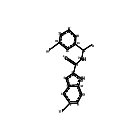 CC(NC(=O)c1cc2cc(F)ccc2[nH]1)c1cccc(F)c1